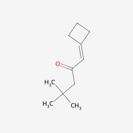 CC(C)(C)CC(=O)C=C1CCC1